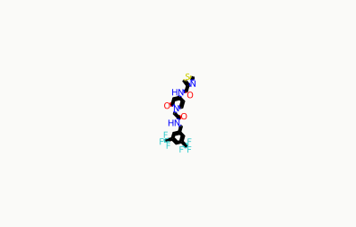 O=C(Cn1ccc(NC(=O)c2cscn2)cc1=O)NCc1cc(C(F)(F)F)cc(C(F)(F)F)c1